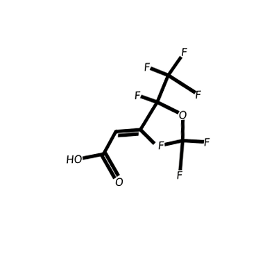 C/C(=C\C(=O)O)C(F)(OC(F)(F)F)C(F)(F)F